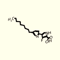 CCCCCCCCCc1ccc(-c2c[nH]c(C(=O)O)c2F)nc1